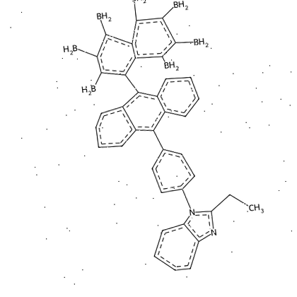 Bc1c(B)c(B)c2c(-c3c4ccccc4c(-c4ccc(-n5c(CC)nc6ccccc65)cc4)c4ccccc34)c(B)c(B)c(B)c2c1B